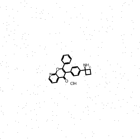 Cl.NC1(c2ccc(-c3c(-c4ccccc4)oc4ncccc4c3=O)cc2)CCC1